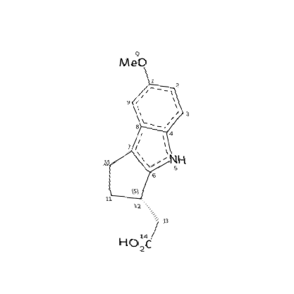 COc1ccc2[nH]c3c(c2c1)CC[C@H]3CC(=O)O